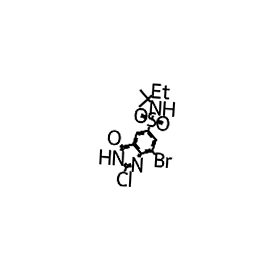 CCC(C)(C)NS(=O)(=O)c1cc(Br)c2nc(Cl)[nH]c(=O)c2c1